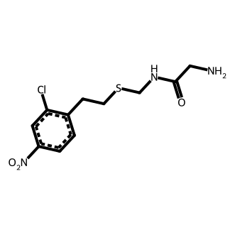 NCC(=O)NCSCCc1ccc([N+](=O)[O-])cc1Cl